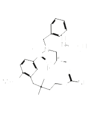 COc1ccc(S(=O)(=O)N(Cc2ccccc2)[C@H](NC(=O)O)[C@@H](C)O)cc1CC(C)(C)CCOC(N)=O